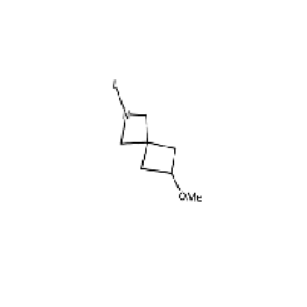 COC1CC2(C1)CN(I)C2